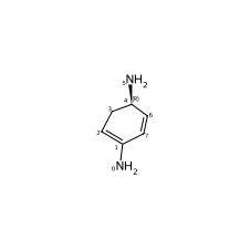 NC1=CC[C@@H](N)C=C1